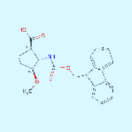 CO[C@H]1CC[C@@H](C(=O)O)[C@@H]1NC(=O)OCC1c2ccccc2-c2ccccc21